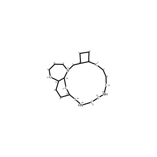 C1CCC2CCC2CN2CCCOC3CCC(CC32)SNCCNC1